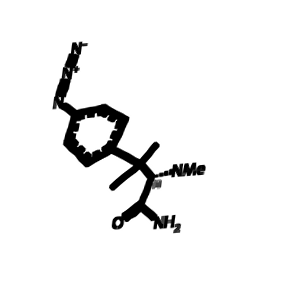 CN[C@H](C(N)=O)C(C)(C)c1ccc(N=[N+]=[N-])cc1